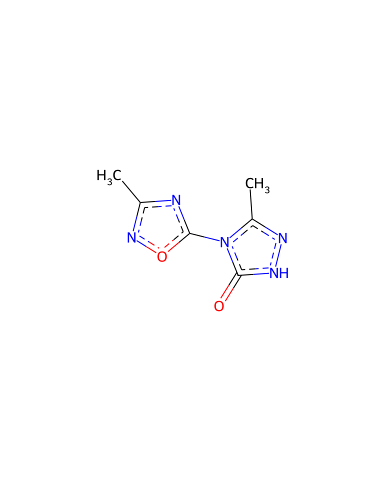 Cc1noc(-n2c(C)n[nH]c2=O)n1